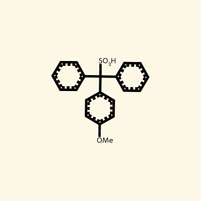 COc1ccc(C(c2ccccc2)(c2ccccc2)S(=O)(=O)O)cc1